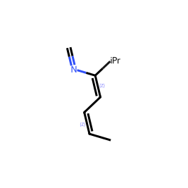 C=N/C(=C\C=C/C)C(C)C